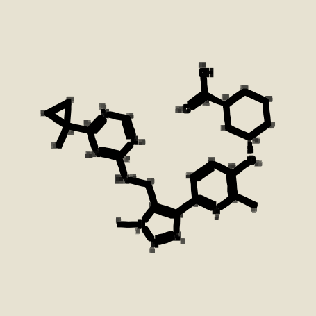 Cc1nc(-c2nnn(C)c2CNc2ncnc(C3(C)CC3)n2)ccc1O[C@H]1CCC[C@H](C(=O)O)C1